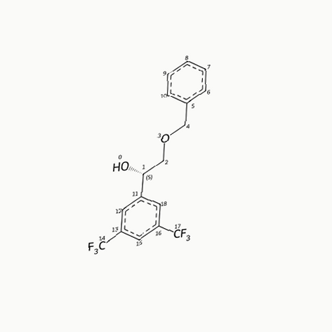 O[C@H](COCc1ccccc1)c1cc(C(F)(F)F)cc(C(F)(F)F)c1